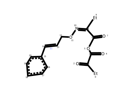 CCC(=O)C(=O)OC(=O)C(CC)=NOC/C=C/c1ccccc1